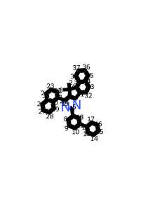 CC1(C)c2c(nc(-c3cccc(-c4ccccc4)c3)nc2-c2cccc3ccccc23)-c2ccc3ccccc3c21